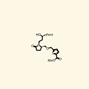 CCCCC[C@H](O)CCN1C(=O)CC[C@@H]1COCc1ccc(C(=O)OC)s1